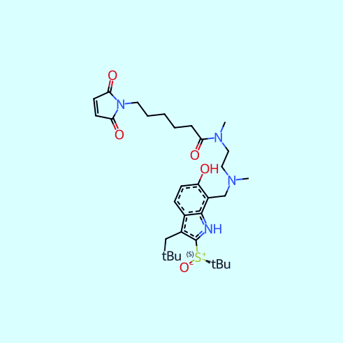 CN(CCN(C)C(=O)CCCCCN1C(=O)C=CC1=O)Cc1c(O)ccc2c(CC(C)(C)C)c([S@+]([O-])C(C)(C)C)[nH]c12